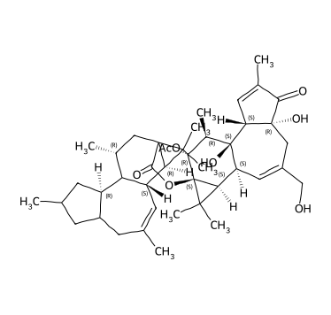 CC(=O)O[C@@H]1[C@@H](C)[C@@]2(O)[C@@H](C=C(CO)C[C@]3(O)C(=O)C(C)=C[C@@H]23)[C@H]2C(C)(C)[C@]12OC(=O)C12C[C@@H](C)C3[C@@H]4CC(C)CC4CC(C)=C[C@H]3[C@@H]1C2(C)C